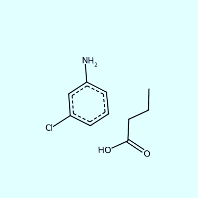 CCCC(=O)O.Nc1cccc(Cl)c1